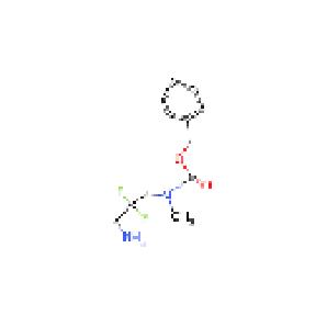 CN(CC(F)(F)CN)C(=O)OCc1ccccc1